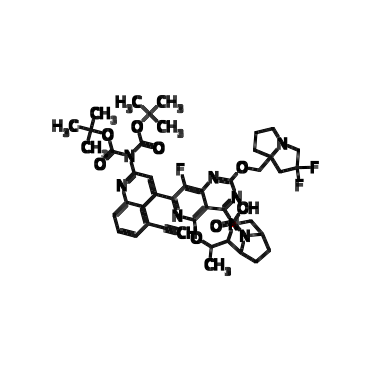 C#Cc1cccc2nc(N(C(=O)OC(C)(C)C)C(=O)OC(C)(C)C)cc(-c3nc4c5c(nc(OCC67CCCN6CC(F)(F)C7)nc5c3F)N3CC5CCC(C3C(C)O4)N5C(=O)O)c12